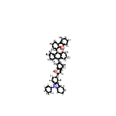 c1ccc(-n2c3ccccc3c3cc(-c4cc5ccc(-c6c7ccccc7c(-c7cccc8c7oc7ccccc78)c7ccccc67)cc5o4)ccc32)cc1